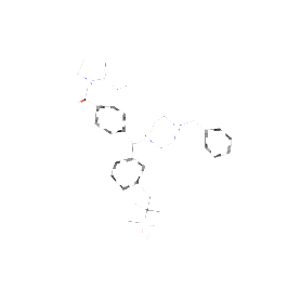 CCC(C)N(CC)C(=O)c1ccc(C(c2cccc(CC(C)(C)[Si](C)(C)O)c2)N2CCN(Cc3ccccc3)CC2)cc1